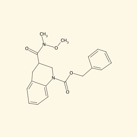 CON(C)C(=O)C1Cc2ccccc2N(C(=O)OCc2ccccc2)C1